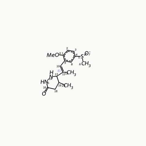 COc1ccc([S+](C)[O-])cc1/C=C(\C)C1NNC(=O)CC1C